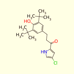 CC(C)(C)c1cc(CCC(=O)c2cc(Cl)c[nH]2)cc(C(C)(C)C)c1O